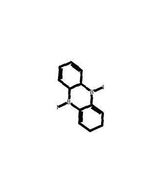 IB1C2=CCCC=C2B(I)C2C=CC=CC12